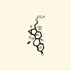 C=C[C@H]1CC2=CC(=O)CC[C@@H]2[C@H]2CC[C@@]3(CC)[C@@H]([C@H]4C[C@H]4[C@@]3(O)CCOC(=O)O)[C@@H]21